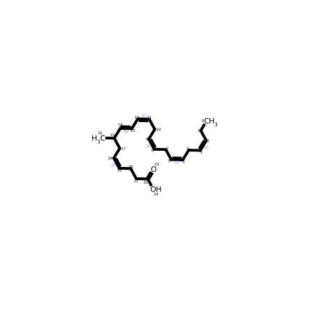 CC/C=C\C/C=C\C/C=C\C/C=C\C=C\C(C)C/C=C\CCC(=O)O